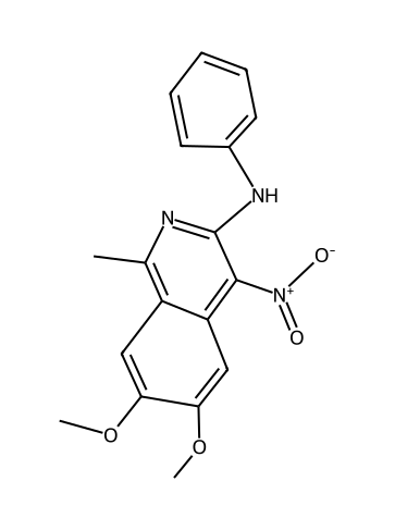 COc1cc2c(C)nc(Nc3ccccc3)c([N+](=O)[O-])c2cc1OC